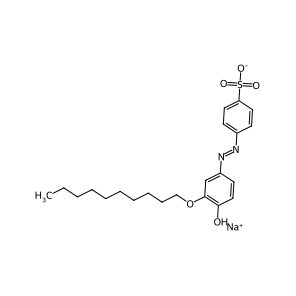 CCCCCCCCCCOc1cc(N=Nc2ccc(S(=O)(=O)[O-])cc2)ccc1O.[Na+]